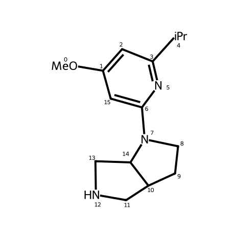 COc1cc(C(C)C)nc(N2CCC3CNCC32)c1